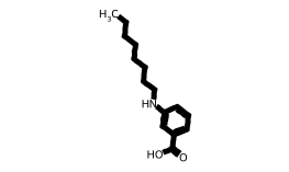 CCCCCCCCNc1cccc(C(=O)O)c1